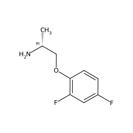 C[C@@H](N)COc1ccc(F)cc1F